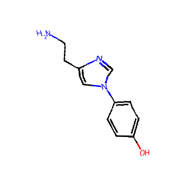 NCCc1cn(-c2ccc(O)cc2)cn1